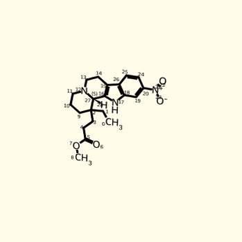 CCC1(CCC(=O)OC)CCCN2CCc3c([nH]c4cc([N+](=O)[O-])ccc34)[C@@H]21